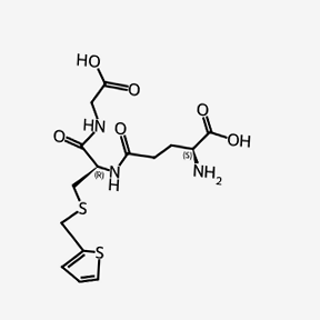 N[C@@H](CCC(=O)N[C@@H](CSCc1cccs1)C(=O)NCC(=O)O)C(=O)O